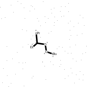 CCCC(CC)OOC(C)(C)C